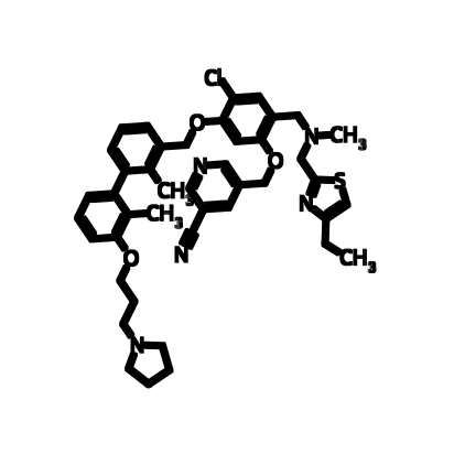 CCc1csc(CN(C)Cc2cc(Cl)c(OCc3cccc(-c4cccc(OCCCN5CCCC5)c4C)c3C)cc2OCc2cncc(C#N)c2)n1